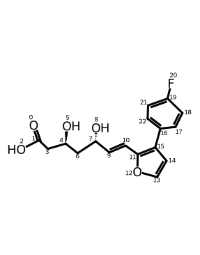 O=C(O)C[C@@H](O)C[C@H](O)C=Cc1occc1-c1ccc(F)cc1